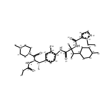 CCC(=O)N[C@@H](C(=O)N1CCN(C)CC1)[C@@H](C)c1ccc(NC(=O)C(C)(NC(=O)c2ccnn2CC)C(C)C2CCC(C)CC2)c(F)c1